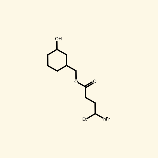 CCCC(CC)CCC(=O)OCC1CCCC(O)C1